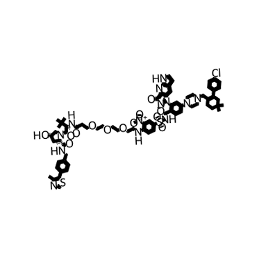 Cc1ncsc1-c1ccc(CNC(=O)[C@@H]2C[C@@H](O)CN2C(=O)[C@@H](NC(=O)CCOCCOCCOCCNc2ccc(S(=O)(=O)NC(=O)c3ccc(N4CCN(CC5=C(c6ccc(Cl)cc6)CC(C)(C)CC5)CC4)cc3-n3c4cc5cc[nH]c5nc4c(=O)n3C)cc2[N+](=O)[O-])C(C)(C)C)cc1